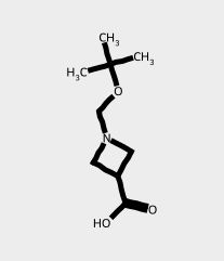 CC(C)(C)OCN1CC(C(=O)O)C1